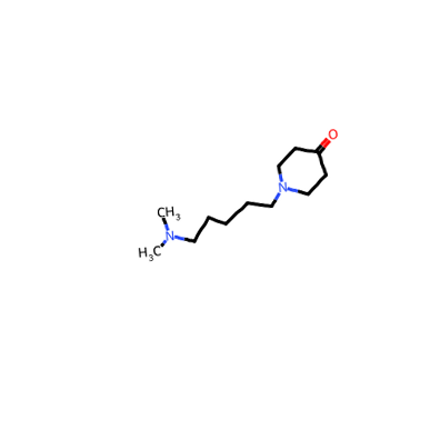 CN(C)CCCCCN1CCC(=O)CC1